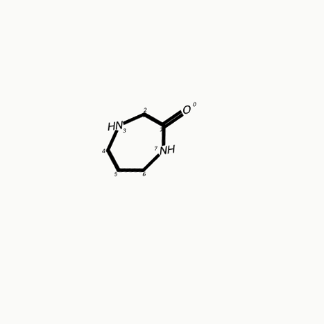 O=C1[CH]NCCCN1